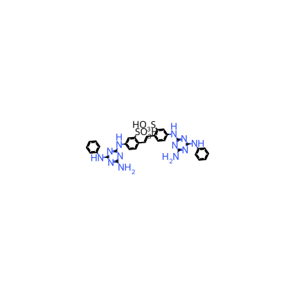 Nc1nc(Nc2ccccc2)nc(Nc2ccc(/C=C/c3ccc(Nc4nc(N)nc(Nc5ccccc5)n4)cc3S(=O)(=O)O)c(S(=O)(=O)O)c2)n1